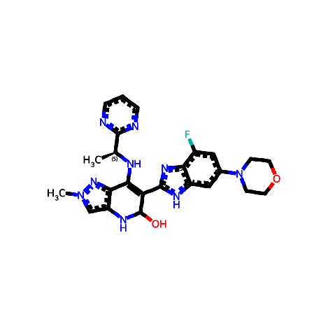 C[C@H](NC1=C(c2nc3c(F)cc(N4CCOCC4)cc3[nH]2)C(O)Nc2cn(C)nc21)c1ncccn1